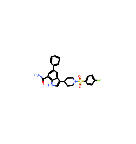 NC(=O)c1cc(-c2ccccc2)cc2c(C3CCN(S(=O)(=O)c4ccc(F)cc4)CC3)c[nH]c12